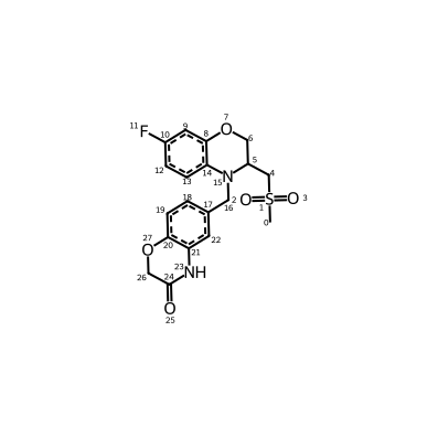 CS(=O)(=O)CC1COc2cc(F)ccc2N1Cc1ccc2c(c1)NC(=O)CO2